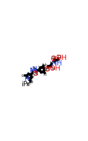 Cc1cc(-c2nnc(-c3cc(C)c(OC[C@H](O)CNC(=O)CO)c(C)c3)o2)cc(CC(C)C)n1